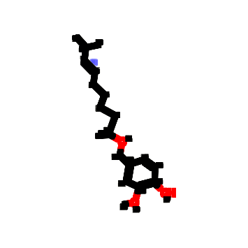 C=C(CCCC/C=C/C(C)C)OCc1ccc(O)c(OC)c1